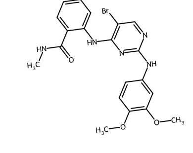 CNC(=O)c1ccccc1Nc1nc(Nc2ccc(OC)c(OC)c2)ncc1Br